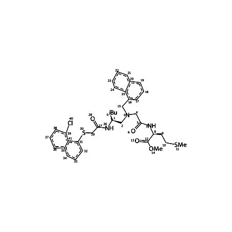 CC[C@H](C)[C@@H](CN(CC(=O)N[C@@H](CCSC)C(=O)OC)Cc1cccc2ccccc12)NC(=O)CSc1cccc2cccc(Cl)c12